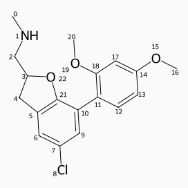 CNCC1Cc2cc(Cl)cc(-c3ccc(OC)cc3OC)c2O1